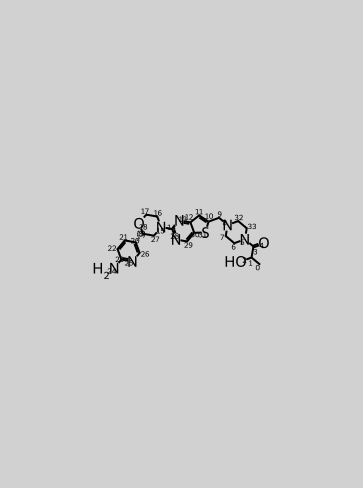 CC(O)C(=O)N1CCN(Cc2cc3nc(N4CCO[C@@H](c5ccc(N)nc5)C4)ncc3s2)CC1